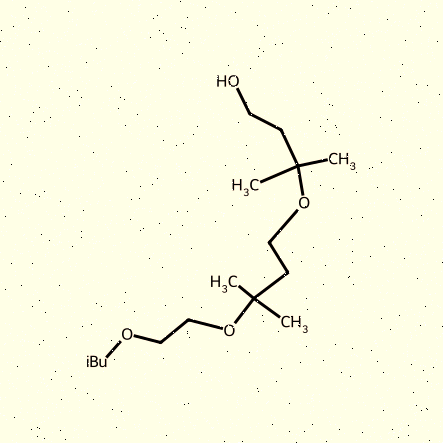 CCC(C)OCCOC(C)(C)CCOC(C)(C)CCO